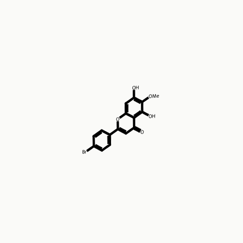 COc1c(O)cc2oc(-c3ccc(Br)cc3)cc(=O)c2c1O